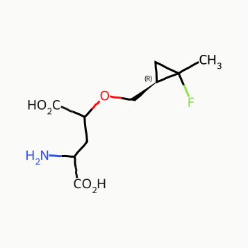 CC1(F)C[C@@H]1COC(CC(N)C(=O)O)C(=O)O